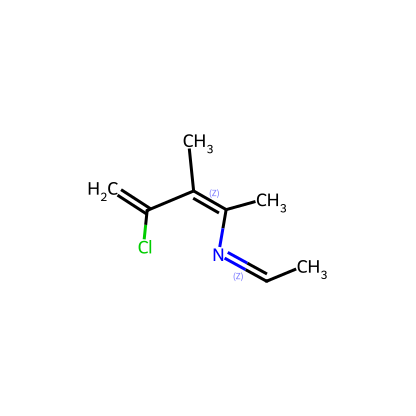 C=C(Cl)/C(C)=C(C)\N=C/C